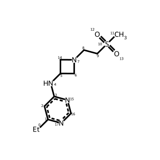 CCc1cc(NC2CN(CCS(C)(=O)=O)C2)ncn1